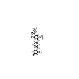 CC(C)(C)OC(=O)c1cc(C2CC2)c(CN2CCOC(Cc3ccc(F)cc3Cl)C2)cc1F